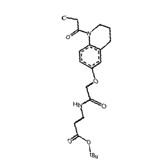 CC(C)(C)OC(=O)CCNC(=O)COc1ccc2c(c1)CCCN2C(=O)CCl